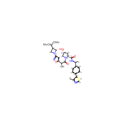 COC(OC)C1CN(c2cc(C(C(=O)N3C[C@H](O)C[C@H]3C(=O)NC(C)c3ccc(-c4scnc4C)cc3)C(C)C)on2)C1